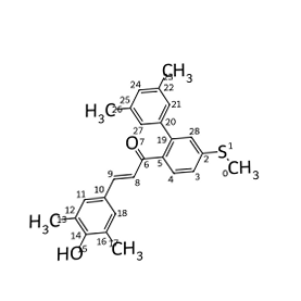 CSc1ccc(C(=O)C=Cc2cc(C)c(O)c(C)c2)c(-c2cc(C)cc(C)c2)c1